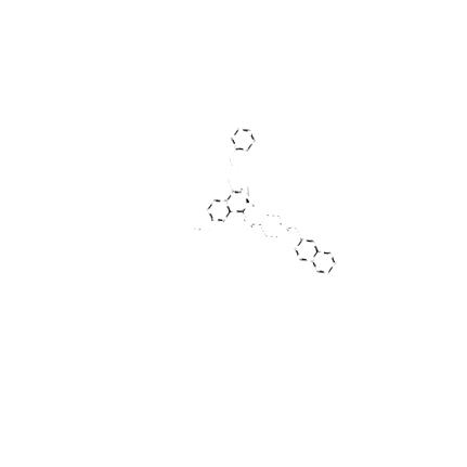 COc1ccc2c(COCc3ccccc3)nnc(NC3CCN(Cc4ccc5ccccc5c4)CC3)c2c1